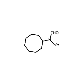 CCCN([C]=O)C1CCCCCCC1